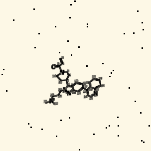 C=CC(=O)N1CCC(c2c3ccc(-c4ccnc5ccccc45)cc3nn2CCCN(C)C)CC1